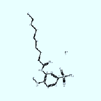 CCCCCCCCCC(=O)Oc1cc(S(=O)(=O)[O-])ccc1OC.[K+]